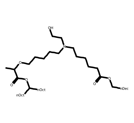 CCCCCCCCCCCOC(=O)CCCCCN(CCO)CCCCCOC(C)C(=O)OC(CCCCCCCC)CCCCCCCC